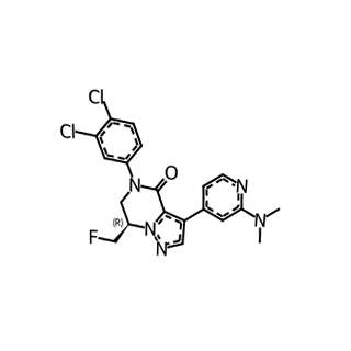 CN(C)c1cc(-c2cnn3c2C(=O)N(c2ccc(Cl)c(Cl)c2)C[C@@H]3CF)ccn1